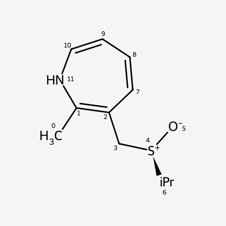 CC1=C(C[S@@+]([O-])C(C)C)C=CC=CN1